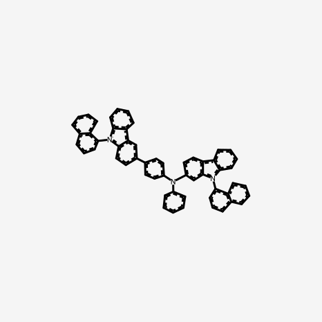 c1ccc(N(c2ccc(-c3ccc4c(c3)c3ccccc3n4-c3cccc4ccccc34)cc2)c2ccc3c4ccccc4n(-c4cccc5ccccc45)c3c2)cc1